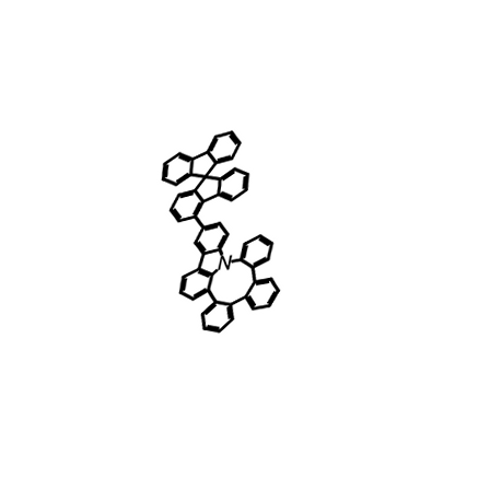 c1ccc2c(c1)-c1ccccc1C21c2ccccc2-c2c(-c3ccc4c(c3)c3cccc5c6ccccc6c6ccccc6c6ccccc6n4c53)cccc21